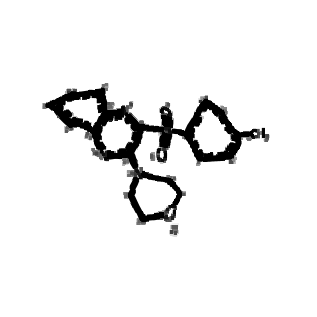 Cc1ccc(S(=O)(=O)c2nc3ccccc3nc2N2CCOCC2)cc1